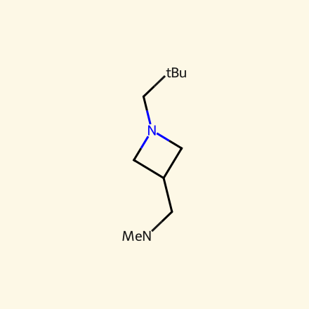 CNCC1CN(CC(C)(C)C)C1